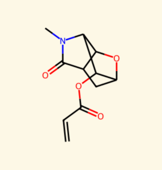 C=CC(=O)OC1C2CC3C(=O)N(C)C1C3O2